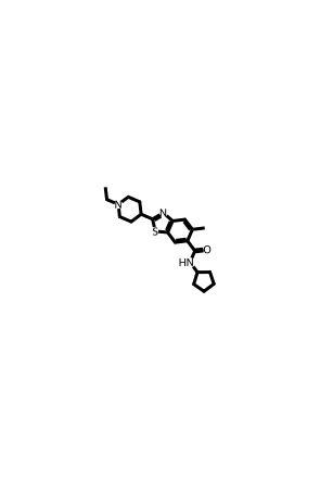 CCN1CCC(c2nc3cc(C)c(C(=O)NC4CCCC4)cc3s2)CC1